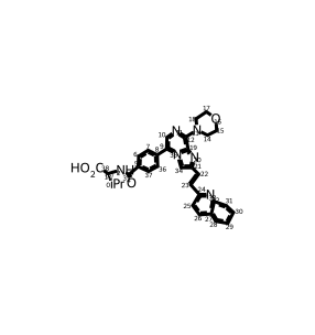 CC(C)[C@H](NC(=O)c1ccc(-c2cnc(N3CCOCC3)c3nc(C=Cc4ccc5ccccc5n4)cn23)cc1)C(=O)O